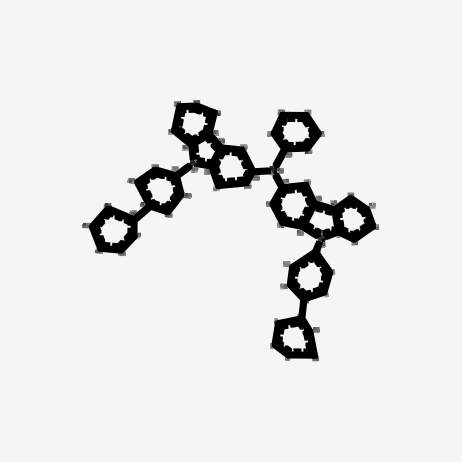 c1ccc(-c2ccc(-n3c4ccccc4c4cc(N(c5ccccc5)c5ccc6c(c5)c5ccccc5n6-c5ccc(-c6ccccc6)cc5)ccc43)cc2)cc1